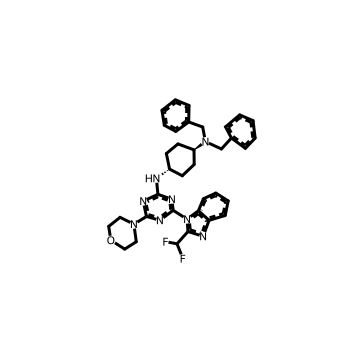 FC(F)c1nc2ccccc2n1-c1nc(N[C@H]2CC[C@H](N(Cc3ccccc3)Cc3ccccc3)CC2)nc(N2CCOCC2)n1